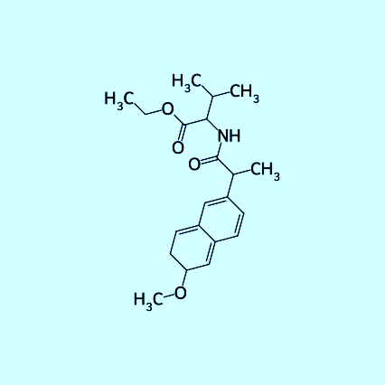 CCOC(=O)C(NC(=O)C(C)c1ccc2c(c1)=CCC(OC)C=2)C(C)C